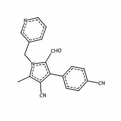 Cc1c(C#N)c(-c2ccc(C#N)cc2)c(C=O)n1Cc1cccnc1